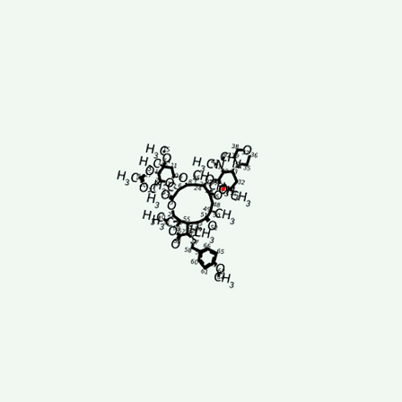 CC[C@H]1OC(=O)[C@H](C)[C@@H](O[C@H]2C[C@@](C)(OC)[C@@H](OC(C)=O)[C@H](C)O2)[C@H](C)[C@@H](O[C@@H]2O[C@H](C)C[C@@H](N3CCOCC3)C2N(C)C)[C@](C)(OC)C[C@@H](C)C(=O)[C@H](C)[C@H]2C(SCc3ccc(OC)cc3)C(=O)O[C@@]21C